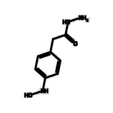 NNC(=O)Cc1ccc(NO)cc1